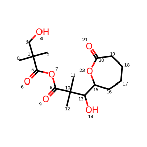 CC(C)(CO)C(=O)OC(=O)C(C)(C)C(O)C1CCCCC(=O)O1